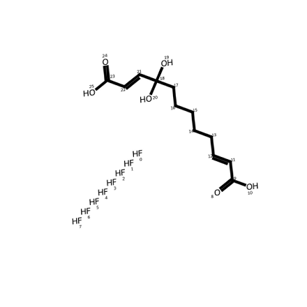 F.F.F.F.F.F.F.F.O=C(O)C=CCCCCCC(O)(O)C=CC(=O)O